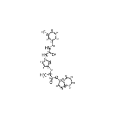 CN(Cc1csc(NC(=O)NCc2cccc(F)c2)n1)C(=O)Oc1cnn2ccccc12